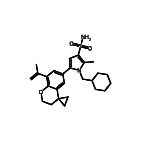 C=C(C)c1cc(-c2cc(S(N)(=O)=O)c(C)n2CC2CCCCC2)cc2c1OCCC21CC1